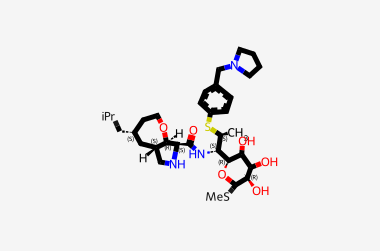 CSC1O[C@H]([C@H](NC(=O)[C@H]2NC[C@@H]3C[C@H](CC(C)C)CCO[C@H]32)[C@H](C)Sc2ccc(CN3CCCC3)cc2)C(O)C(O)[C@H]1O